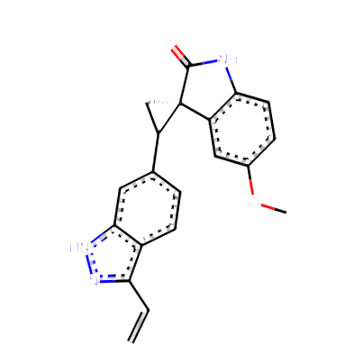 C=Cc1n[nH]c2cc(C3C[C@@]34C(=O)Nc3ccc(OC)cc34)ccc12